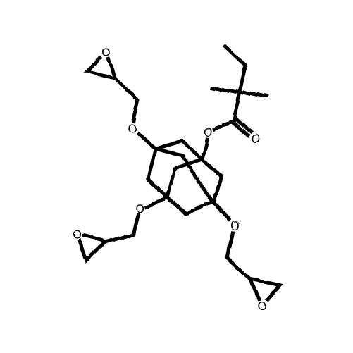 CCC(C)(C)C(=O)OC12CC3(OCC4CO4)CC(OCC4CO4)(CC(OCC4CO4)(C3)C1)C2